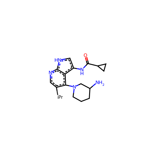 CC(C)c1cnc2[nH]cc(NC(=O)C3CC3)c2c1N1CCCC(N)C1